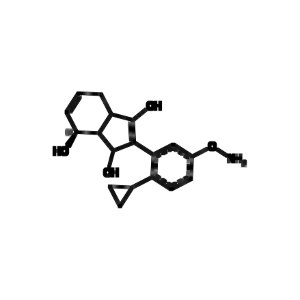 NOc1ccc(C2CC2)c(C2=C(O)C3CC=C[C@H](O)C3C2O)c1